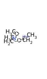 C=C(/C=C\C=C/C)c1ccc(CC(=C)N(C)Cc2cccc(C)c2)cc1